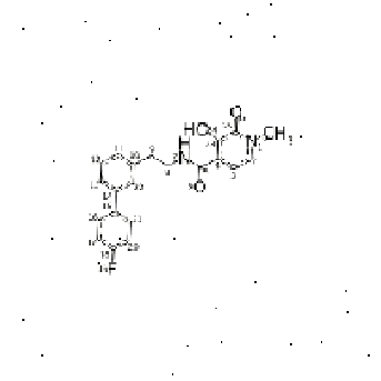 Cn1ccc(C(=O)NCCc2cccc(-c3ccc(F)cc3)c2)c(O)c1=O